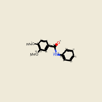 COc1ccc(C(=O)Nc2cc[c]cc2)cc1OC